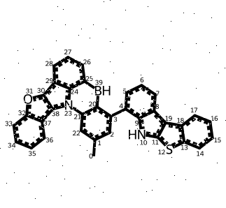 Cc1cc(-c2cccc3c2[nH]c2sc4ccccc4c23)c2c(c1)-n1c3c(cccc3c3oc4ccccc4c31)B2